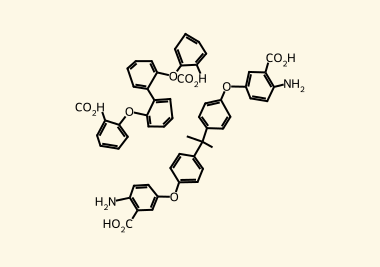 CC(C)(c1ccc(Oc2ccc(N)c(C(=O)O)c2)cc1)c1ccc(Oc2ccc(N)c(C(=O)O)c2)cc1.O=C(O)c1ccccc1Oc1ccccc1-c1ccccc1Oc1ccccc1C(=O)O